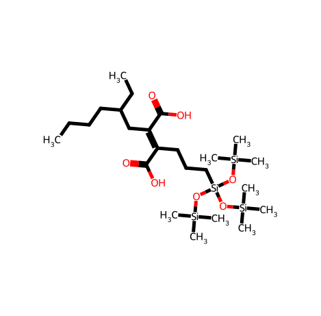 CCCCC(CC)CC(C(=O)O)=C(CCC[Si](O[Si](C)(C)C)(O[Si](C)(C)C)O[Si](C)(C)C)C(=O)O